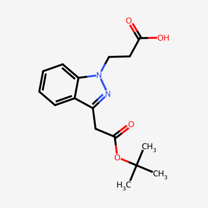 CC(C)(C)OC(=O)Cc1nn(CCC(=O)O)c2ccccc12